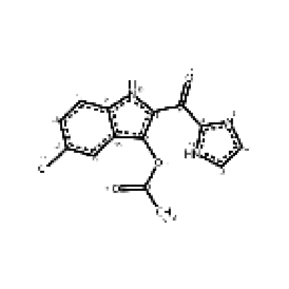 CC(=O)Oc1c(C(=O)c2ncc[nH]2)[nH]c2ccc(Cl)cc12